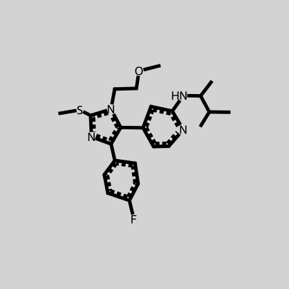 COCCn1c(SC)nc(-c2ccc(F)cc2)c1-c1ccnc(NC(C)C(C)C)c1